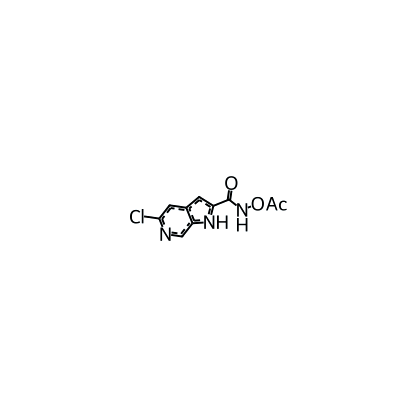 CC(=O)ONC(=O)c1cc2cc(Cl)ncc2[nH]1